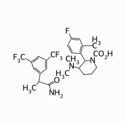 CC(C(N)=O)c1cc(C(F)(F)F)cc(C(F)(F)F)c1.Cc1cc(F)ccc1C1C(N(C)C)CCCN1C(=O)O